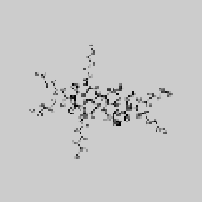 CCCCCCSc1cc2c3cc(Br)c4c5c(c(Br)cc(c6cc(SCCCCCC)c7c(c1C(=O)N(C(CCCCCC)CCCCCC)C7=O)c26)c53)C(=O)N(C(CCCCCC)CCCCCC)C4=O